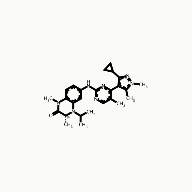 Cc1cnc(Nc2ccc3c(c2)N(C(C)C)[C@H](C)C(=O)N3C)nc1-c1c(C2CC2)nn(C)c1C